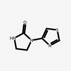 O=C1NCCN1c1cs[c]n1